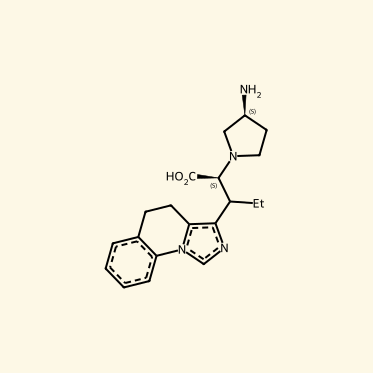 CCC(c1ncn2c1CCc1ccccc1-2)[C@@H](C(=O)O)N1CC[C@H](N)C1